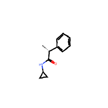 C[C@@H](C(=O)NC1CC1)c1ccccc1